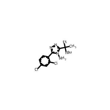 CCCCC(C)(CC)c1nnc(-c2ccc(Cl)cc2Cl)n1N